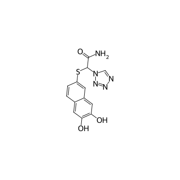 NC(=O)C(Sc1ccc2cc(O)c(O)cc2c1)n1cnnn1